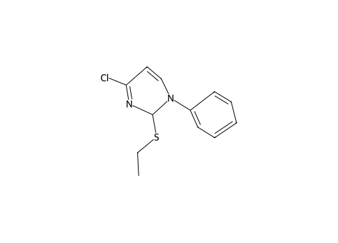 CCSC1N=C(Cl)C=CN1c1ccccc1